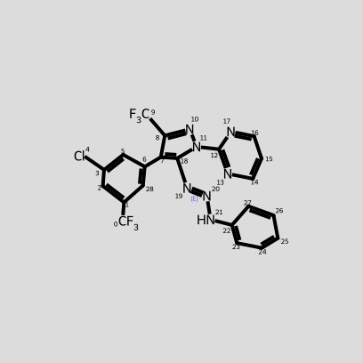 FC(F)(F)c1cc(Cl)cc(-c2c(C(F)(F)F)nn(-c3ncccn3)c2/N=N/Nc2ccccc2)c1